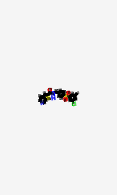 Cc1cc(Cl)cc(S(=O)(=O)c2ccc(CNC(=O)c3cc4ccncc4s3)cc2)c1